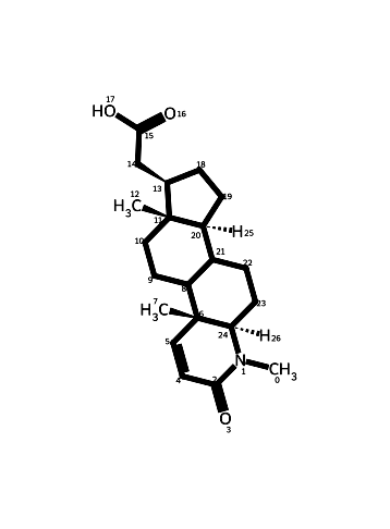 CN1C(=O)C=C[C@]2(C)C3CC[C@]4(C)[C@@H](CC(=O)O)CC[C@H]4C3CC[C@@H]12